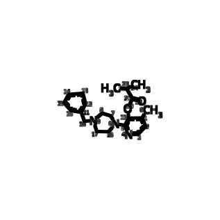 Cc1ccnc(N2CCN(Cc3ccccc3)CC2)c1OC(=O)C(C)C